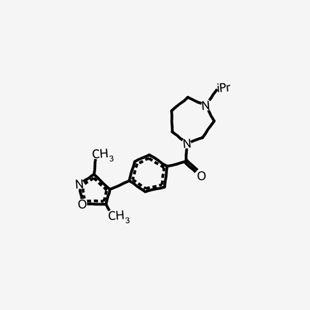 Cc1noc(C)c1-c1ccc(C(=O)N2CCCN(C(C)C)CC2)cc1